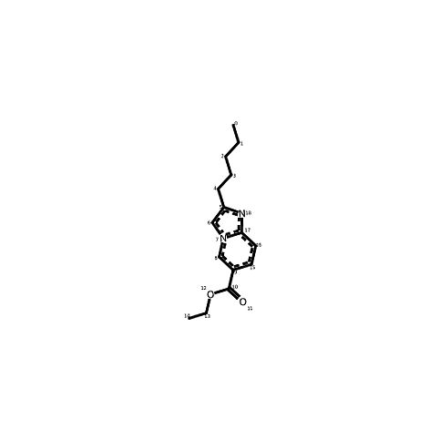 CCCCCc1cn2cc(C(=O)OCC)ccc2n1